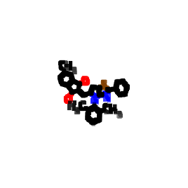 Cc1ccc2c(c1)C(=O)/C(=C\c1cc3sc(-c4ccccc4)nc3n1-c1c(C)cccc1C)C2=O